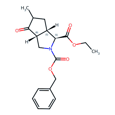 CCOC(=O)[C@@H]1[C@H]2CC(C)C(=O)[C@H]2CN1C(=O)OCc1ccccc1